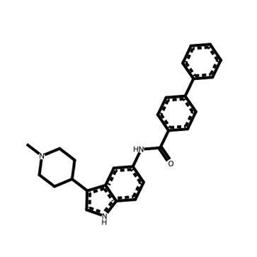 CN1CCC(c2c[nH]c3ccc(NC(=O)c4ccc(-c5ccccc5)cc4)cc23)CC1